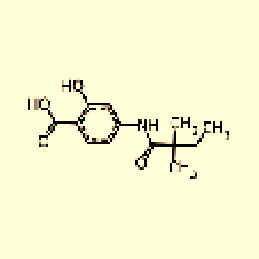 CCC(C)(C)C(=O)Nc1ccc(C(=O)O)c(O)c1